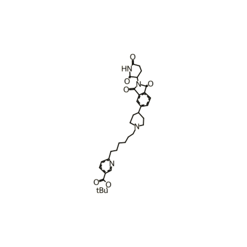 CC(C)(C)OC(=O)c1ccc(CCCCCCN2CCC(c3ccc4c(c3)C(=O)N(C3CCC(=O)NC3=O)C4=O)CC2)nc1